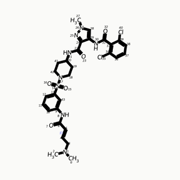 CN(C)C/C=C/C(=O)Nc1cccc(S(=O)(=O)N2CCC(NC(=O)c3nn(C)cc3NC(=O)c3c(Cl)cccc3Cl)CC2)c1